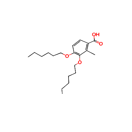 CCCCCCOc1ccc(C(=O)O)c(C)c1OCCCCCC